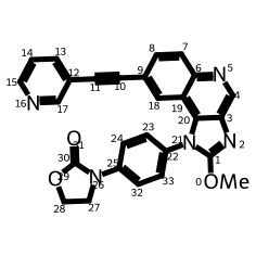 COc1nc2cnc3ccc(C#Cc4cccnc4)cc3c2n1-c1ccc(N2CCOC2=O)cc1